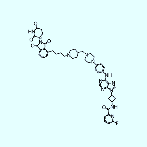 O=C1CC[C@H](N2C(=O)c3cccc(CCCCN4CCC(CN5CCN(c6ccc(Nc7ncnc8c7ncn8C7CC(NC(=O)c8cccc(F)n8)C7)cc6)CC5)CC4)c3C2=O)C(=O)N1